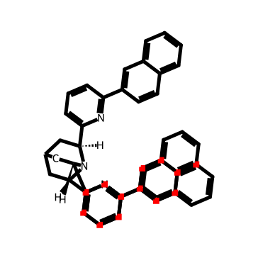 c1cc(-c2ccc3ccccc3c2)nc([C@@H]2CC3C[C@@H](c4cccc(-c5ccc6ccccc6c5)n4)N2[C@H](c2cccc(-c4ccc5ccccc5c4)n2)C3)c1